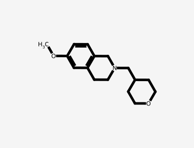 COc1ccc2c(c1)CCN(CC1CCOCC1)C2